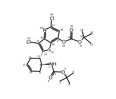 CC(C)(C)OC(=O)N[C@H]1CC=CC[C@@H]1c1sc2c(OC(=O)OC(C)(C)C)cc(Cl)nc2c1Cl